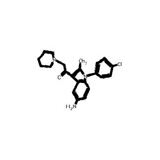 Cc1c(C(=O)CN2CCCCC2)c2cc(N)ccc2n1-c1ccc(Cl)cc1